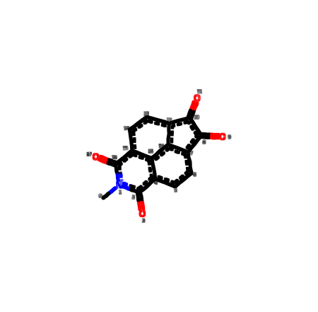 Cn1c(=O)c2ccc3c(=O)c(=O)c4ccc(c1=O)c2c34